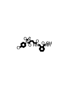 CN1C(=O)N(c2ccc(Cl)cc2)C(=O)C1CCC(=O)NCc1ccccc1C(=O)NO